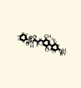 Cc1cc(-c2ccc(NC(C)C)cc2F)c(C)cc1/C=C(\F)C(=O)NS(=O)(=O)c1ccccc1